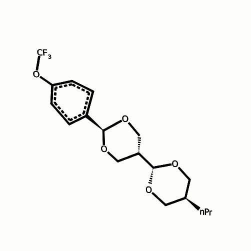 CCC[C@H]1CO[C@H]([C@H]2CO[C@H](c3ccc(OC(F)(F)F)cc3)OC2)OC1